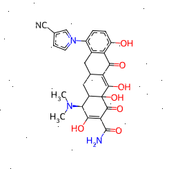 CN(C)[C@@H]1C(O)=C(C(N)=O)C(=O)C2(O)C(O)=C3C(=O)c4c(O)ccc(-n5ccc(C#N)c5)c4CC3CC12